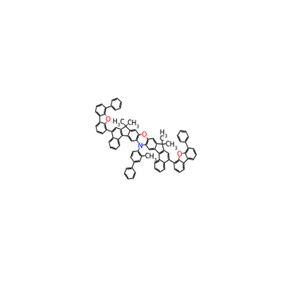 Cc1cc(-c2ccccc2)ccc1N1c2cc3c(cc2Oc2cc4c(cc21)-c1c(cc(-c2cccc5c2oc2c(-c6ccccc6)cccc25)c2ccccc12)C4(C)C)C(C)(C)c1cc(-c2cccc4c2oc2c(-c5ccccc5)cccc24)c2ccccc2c1-3